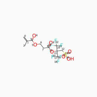 C=C(C)C(=O)OCCC(=O)OC(CS(=O)(=O)O)(C(F)(F)F)C(F)(F)F